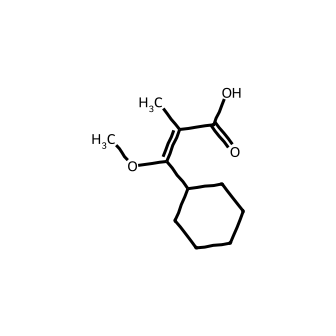 COC(=C(C)C(=O)O)C1CCCCC1